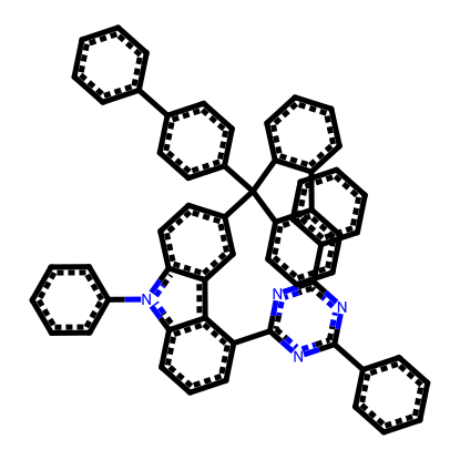 c1ccc(-c2ccc(C3(c4ccc5c(c4)c4c(-c6nc(-c7ccccc7)nc(-c7ccccc7)n6)cccc4n5-c4ccccc4)c4ccccc4-c4ccccc43)cc2)cc1